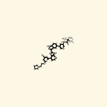 CC(C)(C)C(=O)Nc1cncc(-c2ccc3[nH]nc(-c4nc5c(-c6cc(F)cc(OCCN7CCCC7)c6)ccnc5[nH]4)c3c2)c1